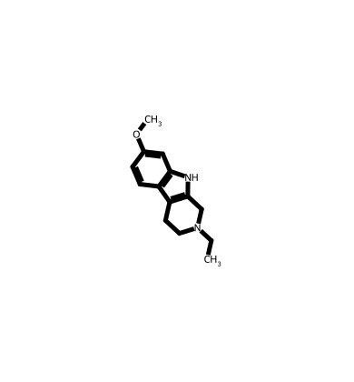 CCN1CCc2c([nH]c3cc(OC)ccc23)C1